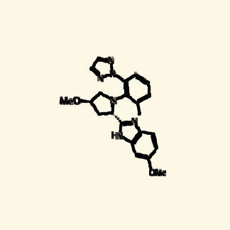 COc1ccc2nc([C@@H]3C[C@@H](OC)CN3c3c(-n4nccn4)[c]ccc3C)[nH]c2c1